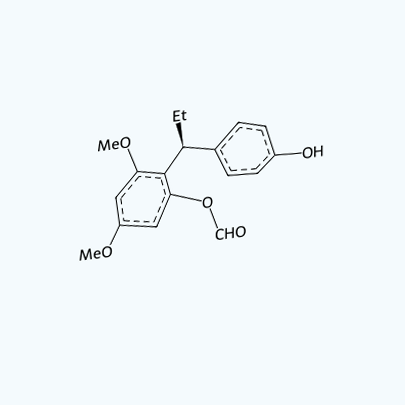 CC[C@@H](c1ccc(O)cc1)c1c(OC)cc(OC)cc1OC=O